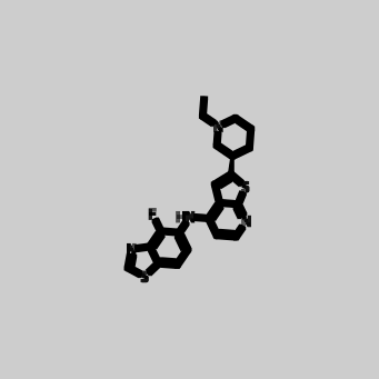 CCN1CCC[C@@H](c2cc3c(Nc4ccc5scnc5c4F)ccnc3s2)C1